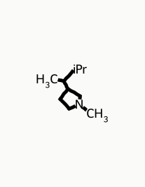 CC(C)C(C)C1CCN(C)C1